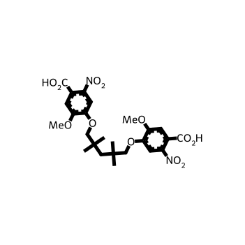 COc1cc(C(=O)O)c([N+](=O)[O-])cc1OCC(C)(C)CC(C)(C)COc1cc([N+](=O)[O-])c(C(=O)O)cc1OC